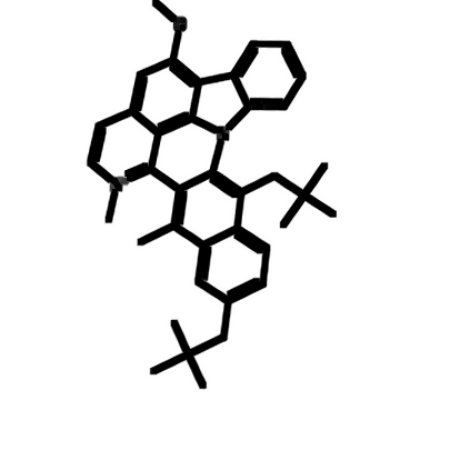 COc1cc2cc[n+](C)c3c4c(C)c5cc(CC(C)(C)C)ccc5c(CC(C)(C)C)c4n4c5ccccc5c1c4c23